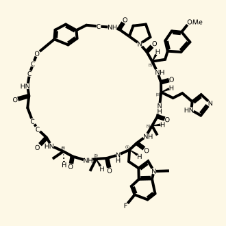 COc1ccc(C[C@@H]2NC(=O)[C@H](CCc3cnc[nH]3)NC(=O)[C@H](C)NC(=O)[C@H](Cc3cn(C)c4ccc(F)cc34)NC(=O)[C@H](C)NC(=O)[C@@H](C)NC(=O)CCCC(=O)NCCOc3ccc(cc3)CCNC(=O)C3CCCN3C2=O)cc1